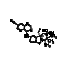 CC1(C)C(N)=N[C@@](CF)(c2cc(Nc3ncnc4cc(C#N)cnc34)ccc2F)CS1(O)O